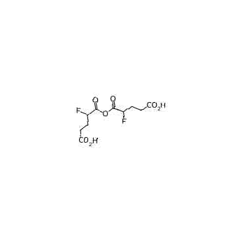 O=C(O)CCC(F)C(=O)OC(=O)C(F)CCC(=O)O